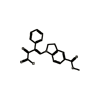 COC(=O)c1ccc2c(c1)CCN2/C=C(/C(=O)C(=O)Cl)c1ccccc1